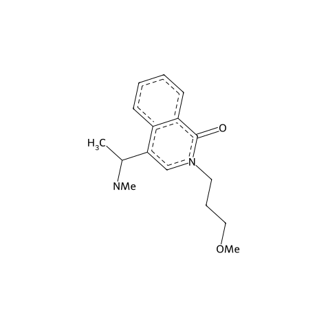 CNC(C)c1cn(CCCOC)c(=O)c2ccccc12